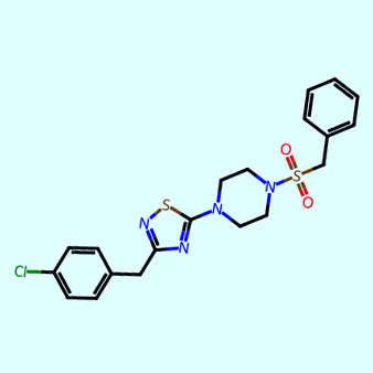 O=S(=O)(Cc1ccccc1)N1CCN(c2nc(Cc3ccc(Cl)cc3)ns2)CC1